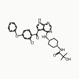 CC(C)(O)C(=O)N[C@H]1CC[C@@H](Nc2ncnc3[nH]cc(C(=O)c4ccc(Oc5ccccc5)cc4Cl)c23)CC1